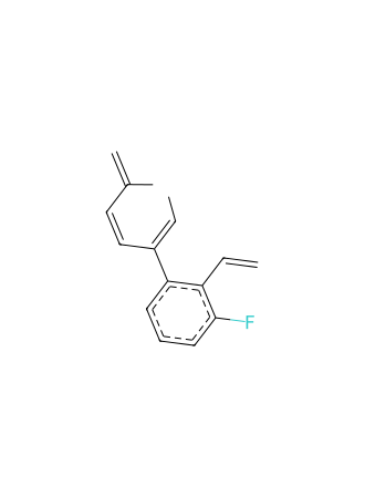 C=Cc1c(F)cccc1C(/C=C\C(=C)C)=C/C